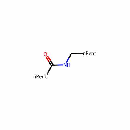 [CH2]CCCCC(=O)NCCCCCC